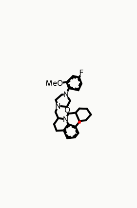 COc1cc(F)ccc1N1CCN(CC2CCc3cccc(C)c3N2C(=O)C2CCCCC2)CC1